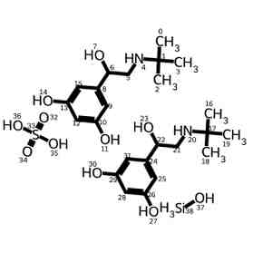 CC(C)(C)NCC(O)c1cc(O)cc(O)c1.CC(C)(C)NCC(O)c1cc(O)cc(O)c1.O=S(=O)(O)O.O[SiH3]